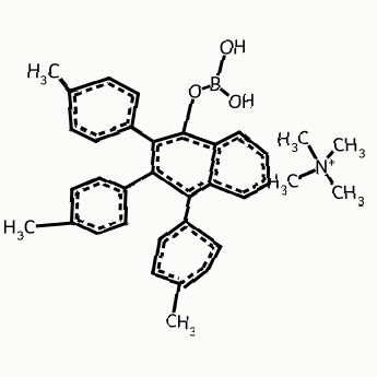 C[N+](C)(C)C.Cc1ccc(-c2c(-c3ccc(C)cc3)c(-c3ccc(C)cc3)c3ccccc3c2OB(O)O)cc1